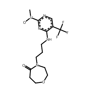 C[S+]([O-])c1ncc(C(F)(F)F)c(NCCCN2CCOCCC2=O)n1